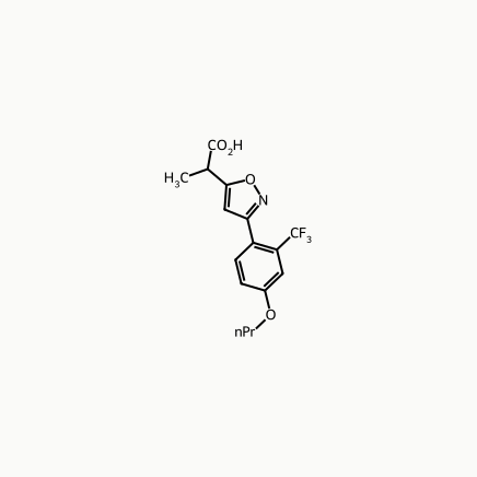 CCCOc1ccc(-c2cc(C(C)C(=O)O)on2)c(C(F)(F)F)c1